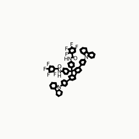 O=C(Nc1ccc(C2(c3ccc(NC(=O)c4cc(F)c(F)c(F)c4F)cc3)c3cc(-c4ccc(N5c6ccccc6C6C=CC=CC65)cc4)ccc3-c3ccc(-c4ccc(-n5c6ccccc6c6ccccc65)cc4)cc32)cc1)c1cc(F)c(F)c(F)c1F